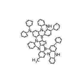 Cc1cc2c3c(c1)N1c4ccccc4N4c5cc(N(c6ccccc6)c6ccccc6)cc6c5B(c5ccc(-c7ccccc7)c7c5N6c5ccccc5N7)c5sc(c1c54)B3c1cc(-c3ccccc3)cc3c1N2c1ccccc1N3